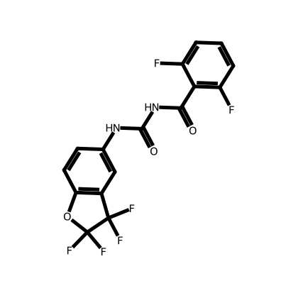 O=C(NC(=O)c1c(F)cccc1F)Nc1ccc2c(c1)C(F)(F)C(F)(F)O2